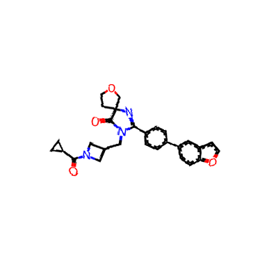 O=C(C1CC1)N1CC(CN2C(=O)C3(CCOC3)N=C2c2ccc(-c3ccc4occc4c3)cc2)C1